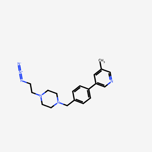 Cc1cncc(-c2ccc(CN3CCN(CCN=[N+]=[N-])CC3)cc2)c1